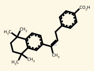 C/C(=C/Cc1ccc(C(=O)O)cc1)c1ccc2c(c1)C(C)(C)CCC2(C)C